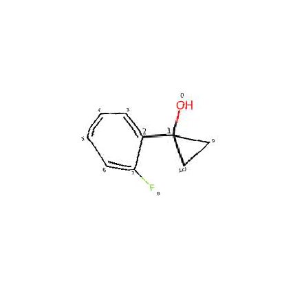 OC1(c2ccccc2F)CC1